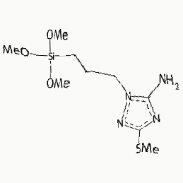 CO[Si](CCCn1nc(SC)nc1N)(OC)OC